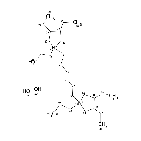 CCC[N+]1(CCCCCC[N+]2(CCC)CC(CC)C(CC)C2)CC(CC)C(CC)C1.[OH-].[OH-]